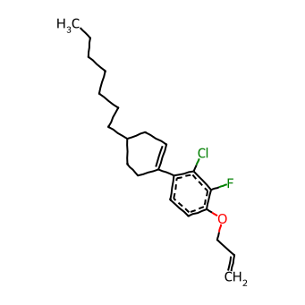 C=CCOc1ccc(C2=CCC(CCCCCCC)CC2)c(Cl)c1F